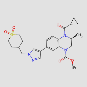 CC(C)OC(=O)N1C[C@H](C)N(C(=O)C2CC2)c2ccc(-c3cnn(CC4CCS(=O)(=O)CC4)c3)cc21